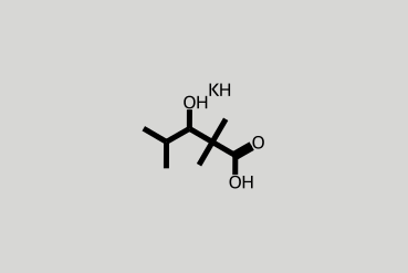 CC(C)C(O)C(C)(C)C(=O)O.[KH]